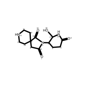 O=C1CCC(N2C(=O)CC3(CCNCC3)C2=O)C(O)N1